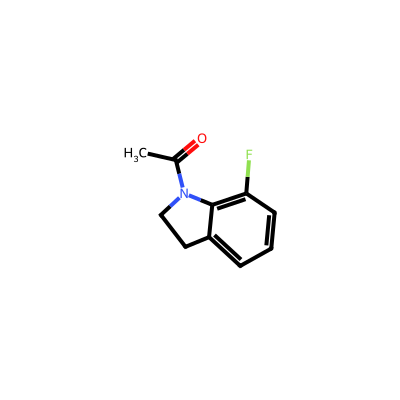 CC(=O)N1CCc2cccc(F)c21